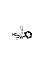 F.F.O=P(O)(O)Oc1ccccc1